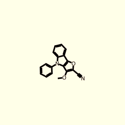 COc1c(C#N)oc2c3ccccc3n(-c3ccccc3)c12